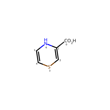 O=C(O)C1=CSC=CN1